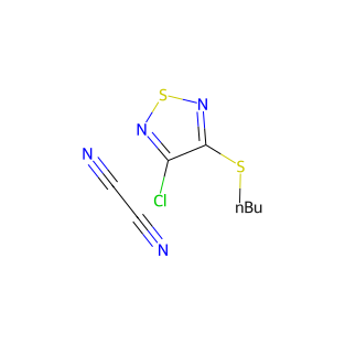 CCCCSc1nsnc1Cl.N#CC#N